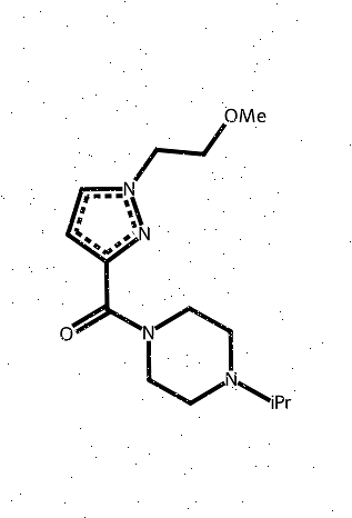 COCCn1ccc(C(=O)N2CCN(C(C)C)CC2)n1